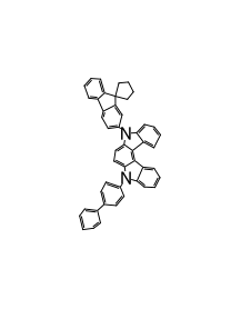 c1ccc(-c2ccc(-n3c4ccccc4c4c5c6ccccc6n(-c6ccc7c(c6)C6(CCCC6)c6ccccc6-7)c5ccc43)cc2)cc1